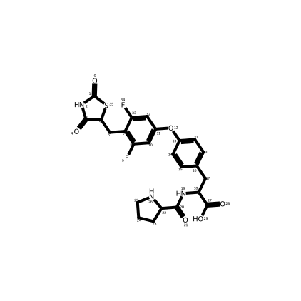 O=C1NC(=O)C(Cc2c(F)cc(Oc3ccc(CC(NC(=O)C4CCCN4)C(=O)O)cc3)cc2F)S1